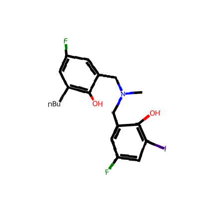 CCCCc1cc(F)cc(CN(C)Cc2cc(F)cc(I)c2O)c1O